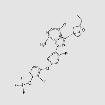 CCC12CC(c3nc(-c4ccc(Oc5cccc(OC(F)(F)F)c5F)cc4F)c4c(N)ncc(Cl)n34)(CO1)C2